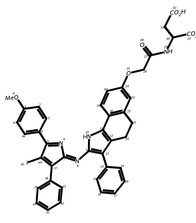 COc1ccc(C2=N/C(=N\c3[nH]c4c(c3-c3ccccc3)CCc3cc(OCC(=O)NC(CC(=O)O)C(=O)O)ccc3-4)C(c3ccccc3)=C2I)cc1